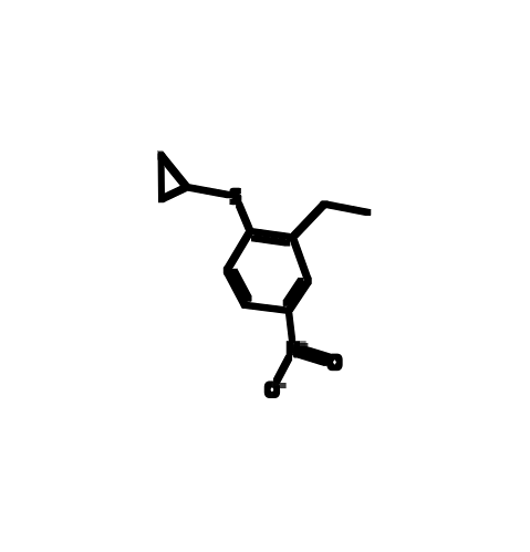 CCc1cc([N+](=O)[O-])ccc1SC1CC1